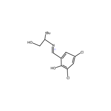 CC(C)(C)C(CO)/N=C/c1cc(Cl)cc(Cl)c1O